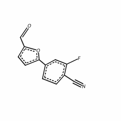 N#Cc1ccc(-c2ccc(C=O)o2)cc1F